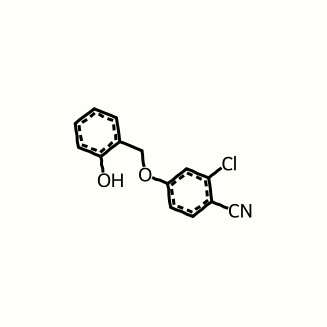 N#Cc1ccc(OCc2ccccc2O)cc1Cl